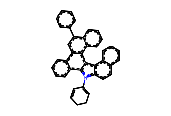 C1=CC(n2c3ccc4ccccc4c3c3c4c5ccccc5c(-c5ccccc5)cc4c4ccccc4c32)=CCC1